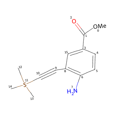 COC(=O)c1ccc(N)c(C#CS(C)(C)C)c1